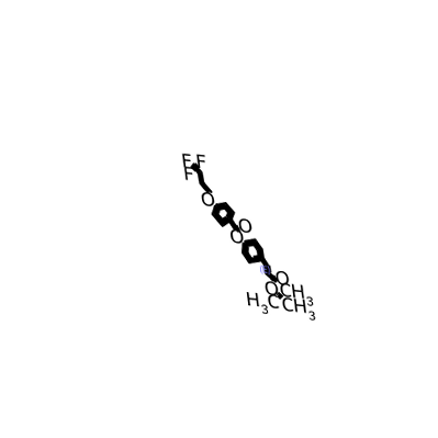 CC(C)(C)OC(=O)/C=C/c1ccc(OC(=O)c2ccc(OCCCC(F)(F)F)cc2)cc1